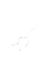 CCCN(C=O)CC(C)CC